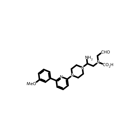 COc1cccc(-c2cccc(N3CCN(C(N)CN(CC=O)C(=O)O)CC3)n2)c1